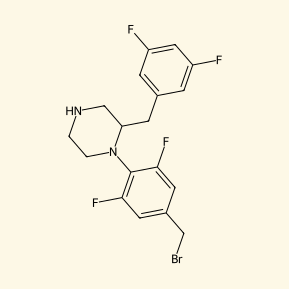 Fc1cc(F)cc(CC2CNCCN2c2c(F)cc(CBr)cc2F)c1